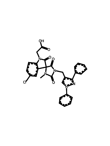 CN1C(=O)N(Cc2cn(-c3ccccc3)nc2-c2ccccc2)C(=O)C12C(=O)N(CC(=O)O)c1ccc(Cl)cc12